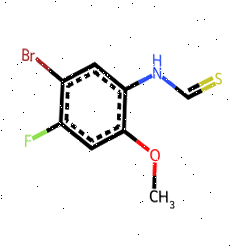 COc1cc(F)c(Br)cc1NC=S